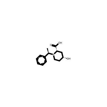 C[C@H](c1ccccc1)N1CC[C@@H](O)C[C@H]1C(=O)O